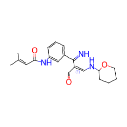 CC(C)=CC(=O)Nc1cccc(C(=N)/C(C=O)=C\NC2CCCCO2)c1